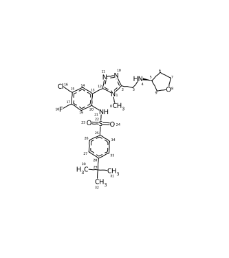 Cn1c(CN[C@H]2CCOC2)nnc1-c1cc(Cl)c(F)cc1NS(=O)(=O)c1ccc(C(C)(C)C)cc1